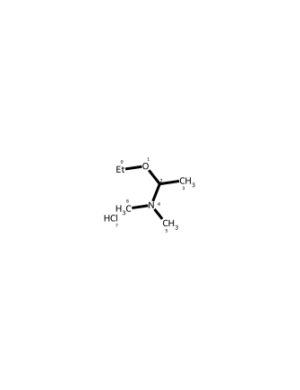 CCOC(C)N(C)C.Cl